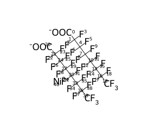 O=C([O-])C(F)(F)C(F)(F)C(F)(F)C(F)(F)C(F)(F)C(F)(F)C(F)(F)F.O=C([O-])C(F)(F)C(F)(F)C(F)(F)C(F)(F)C(F)(F)C(F)(F)C(F)(F)F.[Ni+2]